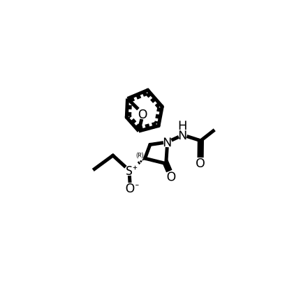 CC[S+]([O-])[C@@H]1CN(NC(C)=O)C1=O.c1cc2cc(c1)O2